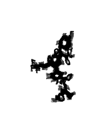 CNC(=O)c1c(-c2ccc(F)cc2)oc2nc(CCC(F)(F)F)c(-c3cccc(C(=O)NCC4(COC)CC4)c3)cc12